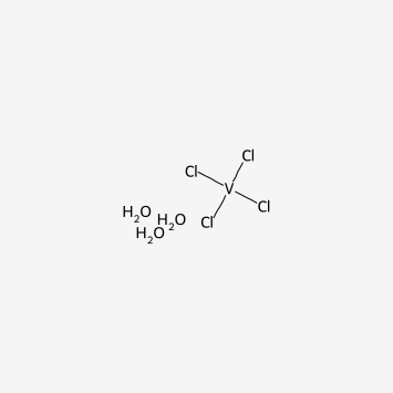 O.O.O.[Cl][V]([Cl])([Cl])[Cl]